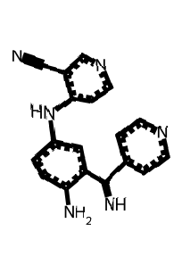 N#Cc1cnccc1Nc1ccc(N)c(C(=N)c2ccncc2)c1